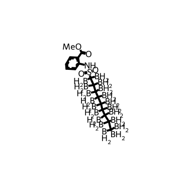 BC(B)(B)C(B)(B)C(B)(B)C(B)(B)C(B)(B)C(B)(B)C(B)(B)C(B)(B)C(B)(B)S(=O)(=O)Nc1ccccc1C(=O)OC